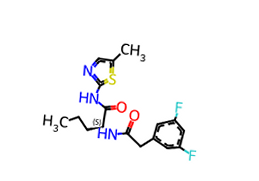 CCC[C@H](NC(=O)Cc1cc(F)cc(F)c1)C(=O)Nc1ncc(C)s1